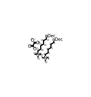 CCCCCCCCCCCCCCCC[N+](C)(C)C.CCCCCCCCCCCCCCCC[N+](C)(C)C.O=C([O-])C(=O)[O-]